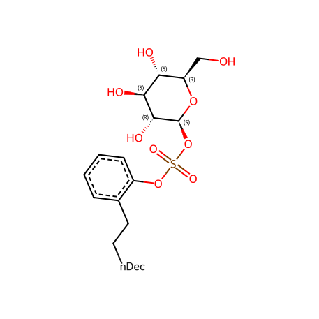 CCCCCCCCCCCCc1ccccc1OS(=O)(=O)O[C@@H]1O[C@H](CO)[C@@H](O)[C@H](O)[C@H]1O